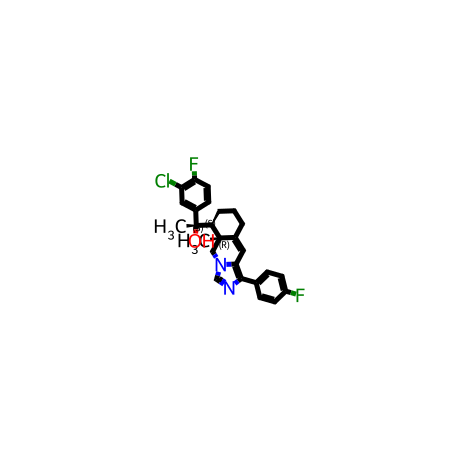 C[C@]12Cn3cnc(-c4ccc(F)cc4)c3C=C1CCC[C@@H]2[C@](C)(O)c1ccc(F)c(Cl)c1